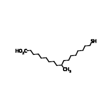 CC(CCCCCCCCS)CCCCCCCCC(=O)O